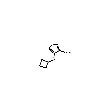 CCOC(=O)c1nocc1OC1CCC1